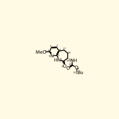 COc1ccc2c(n1)NC(=O)[C@@H](NC(=O)OC(C)(C)C)CC2